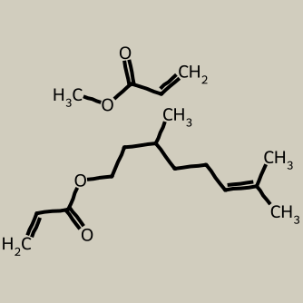 C=CC(=O)OC.C=CC(=O)OCCC(C)CCC=C(C)C